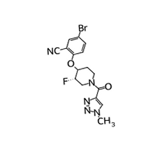 Cn1cc(C(=O)N2CCC(Oc3ccc(Br)cc3C#N)[C@@H](F)C2)nn1